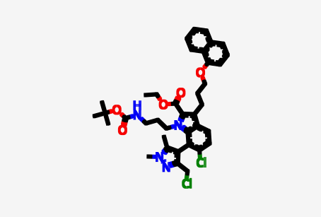 CCOC(=O)c1c(CCCOc2cccc3ccccc23)c2ccc(Cl)c(-c3c(CCl)nn(C)c3C)c2n1CCCNC(=O)OC(C)(C)C